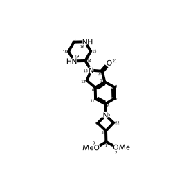 COC(OC)C1CN(c2ccc3c(c2)CN(C2CNCCN2)C3=O)C1